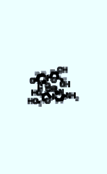 Nc1ccn([C@@H]2O[C@H](CO)[C@@H](O)[C@H]2O)c(=O)n1.O=c1ccn([C@H]2C[C@H](O)[C@@H](CO)O2)c(=O)[nH]1